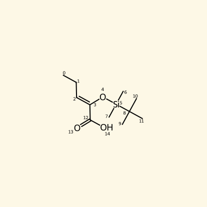 CCC=C(O[Si](C)(C)C(C)(C)C)C(=O)O